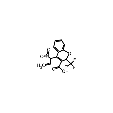 C=CC(C1=C(C(=O)O)C(C(F)(F)F)Oc2ccccc21)[N+](=O)[O-]